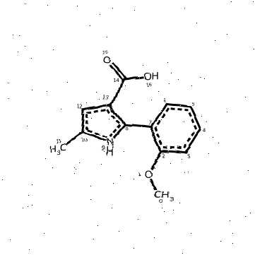 COc1ccccc1-c1[nH]c(C)cc1C(=O)O